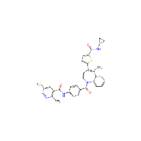 CC1=C(c2ccc(C(=O)NC3CC3)s2)CCN(C(=O)c2ccc(NC(=O)c3cc(C)cnc3C)cc2)c2ccccc21